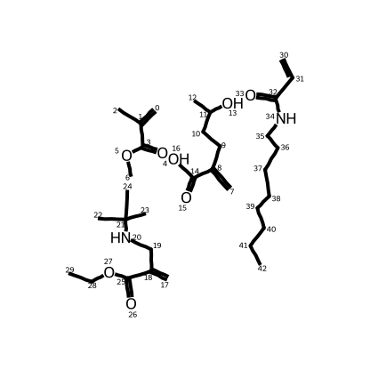 C=C(C)C(=O)OC.C=C(CCC(C)O)C(=O)O.C=C(CNC(C)(C)C)C(=O)OCC.C=CC(=O)NCCCCCCCC